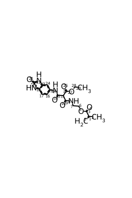 C=C(C)C(=O)OCCNC(=O)C(C(=O)Nc1ccc2[nH]c(=O)[nH]c2c1)C(=O)OCC